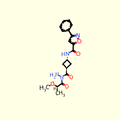 CO[C@H](C)C(=O)N(N)C(=O)[C@H]1C[C@H](NC(=O)c2cc(-c3ccccc3)no2)C1